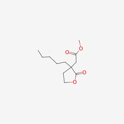 CCCCCC1(CC(=O)OC)CCOC1=O